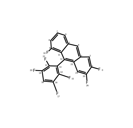 Fc1cc2cc3cccc(F)c3c(-c3c(F)c(F)cc(F)c3F)c2cc1F